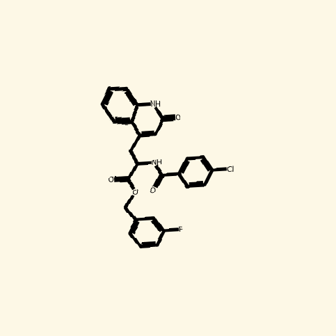 O=C(NC(Cc1cc(=O)[nH]c2ccccc12)C(=O)OCc1cccc(F)c1)c1ccc(Cl)cc1